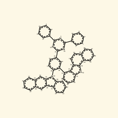 c1ccc(-c2nc(-c3ccccc3)nc(-c3ccc(-n4c5ccccc5c5cc6ccccc6cc54)c(-c4cccc5sc6c7ccccc7ccc6c45)c3)n2)cc1